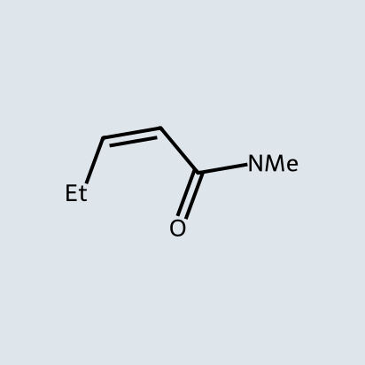 CC/C=C\C(=O)NC